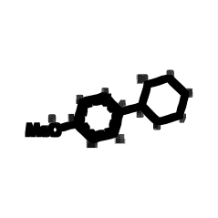 COc1c[c]c(C2CCCCC2)cc1